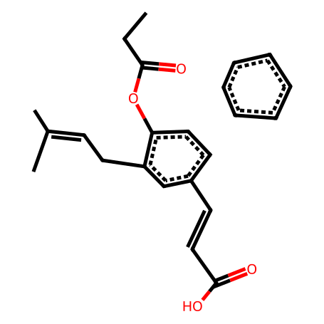 CCC(=O)Oc1ccc(C=CC(=O)O)cc1CC=C(C)C.c1ccccc1